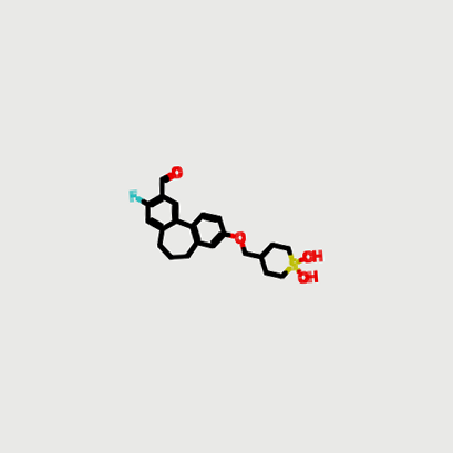 O=Cc1cc2c(cc1F)CCCc1cc(OCC3CCS(O)(O)CC3)ccc1-2